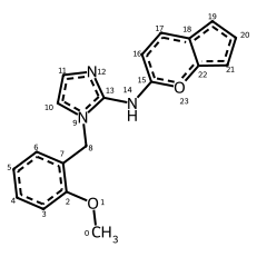 COc1ccccc1Cn1ccnc1Nc1ccc2cccc-2o1